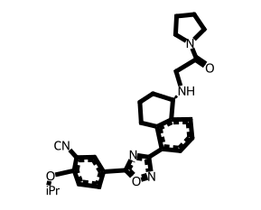 [C-]#[N+]c1cc(-c2nc(-c3cccc4c3CCC[C@@H]4NCC(=O)N3CCCC3)no2)ccc1OC(C)C